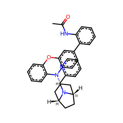 CC(=O)Nc1ccccc1-c1ccc2c(c1)Oc1ccccc1N2[C@H]1C[C@H]2CC[C@@H](C1)N2Cc1ccccn1